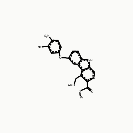 COCc1c(C(=O)OC(C)C)ncc2[nH]c3ccc(Oc4ccc([N+](=O)[O-])c(C#N)c4)cc3c12